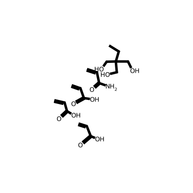 C=CC(=O)O.C=CC(=O)O.C=CC(=O)O.C=CC(N)=O.CCC(CO)(CO)CO